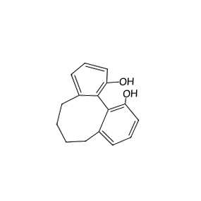 Oc1cccc2c1-c1c(O)cccc1CCCC2